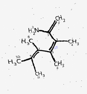 C=C(N)/C(C)=C(/C)C(C)=C(C)C